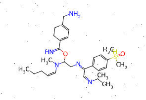 CCC/C=C\N(C)C(C/N=C(\C=N/C(C)C)c1ccc([SH](C)(C)=O)cc1)OC(=N)C1=CC=C(CN)CC1